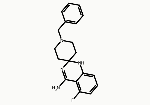 NC1=NC2(CCN(Cc3ccccc3)CC2)Nc2cccc(F)c21